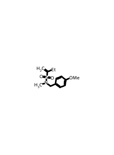 C=C(CC)S(=O)(=O)N(C)Cc1ccc(OC)cc1